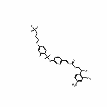 [CH2]C(COC(=O)/C=C/c1ccc(OC(F)(F)c2ccc(OCCCC(F)(F)F)cc2F)cc1)c1ccc(N)cc1N